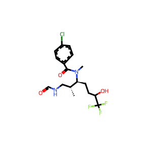 C[C@H](CNC=O)[C@H](CCC(O)C(F)(F)F)N(C)C(=O)c1ccc(Cl)cc1